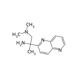 CN(C)CC(C)(N)c1ccc2ncccc2n1